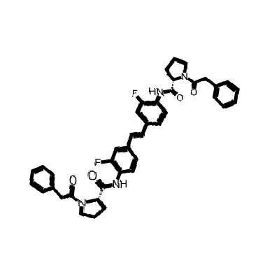 O=C(Nc1ccc(/C=C/c2ccc(NC(=O)[C@@H]3CCCN3C(=O)Cc3ccccc3)c(F)c2)cc1F)[C@@H]1CCCN1C(=O)Cc1ccccc1